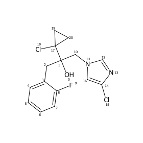 OC(Cc1ccccc1F)(Cn1cnc(Cl)c1)C1(Cl)CC1